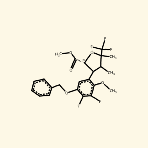 COC(=O)[C@@H]1OC(C)(C(F)(F)F)C(C)C1c1cc(OCc2ccccc2)c(F)c(F)c1OC